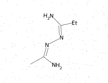 CC/C(N)=N/N=C(/C)N